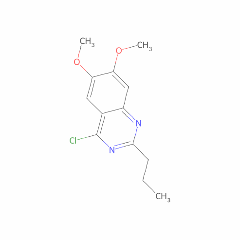 CCCc1nc(Cl)c2cc(OC)c(OC)cc2n1